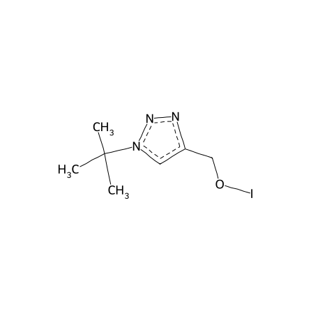 CC(C)(C)n1cc(COI)nn1